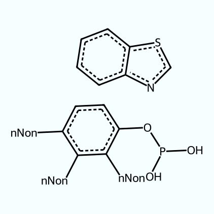 CCCCCCCCCc1ccc(OP(O)O)c(CCCCCCCCC)c1CCCCCCCCC.c1ccc2scnc2c1